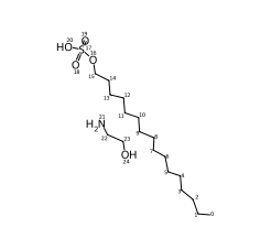 CCCCCCCCCCCCCCCCOS(=O)(=O)O.NCCO